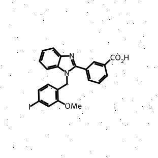 COc1cc(I)ccc1Cn1c(-c2cccc(C(=O)O)c2)nc2ccccc21